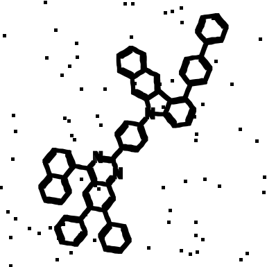 c1ccc(-c2ccc(-c3cccc4c3c3cc5ccccc5cc3n4-c3ccc(-c4nc(-c5cccc6ccccc56)c5cc(-c6ccccc6)c(-c6ccccc6)cc5n4)cc3)cc2)cc1